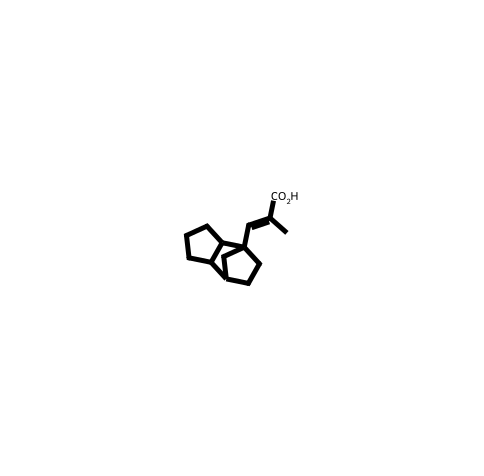 C/C(=C\C12CCC(C1)C1CCCC12)C(=O)O